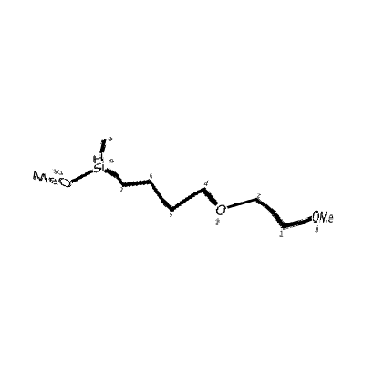 COCCOCCCC[SiH](C)OC